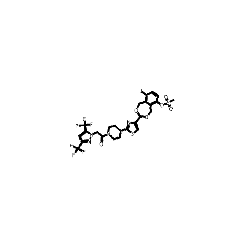 CS(=O)(=O)Oc1ccc(I)c2c1COC(c1csc(C3CCN(C(=O)Cn4nc(C(F)(F)F)cc4C(F)(F)F)CC3)n1)OC2